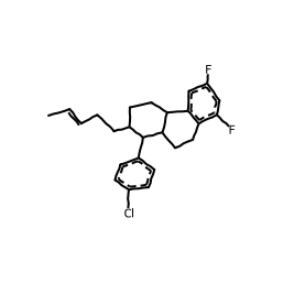 CC=CCCC1CCC2c3cc(F)cc(F)c3CCC2C1c1ccc(Cl)cc1